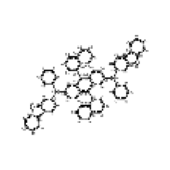 c1ccc(N(c2ccc3c(c2)oc2ccccc23)c2ccc3c(-c4cccc5ccccc45)c4cc(N(c5ccccc5)c5ccc6c(c5)oc5ccccc56)ccc4c(-c4cccc5ccccc45)c3c2)cc1